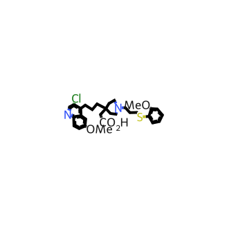 COc1ccc2ncc(Cl)c(CCCC3(CC(=O)O)CCN(CCCSc4ccccc4OC)CC3)c2c1